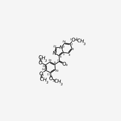 COc1ccc2c(C(=O)c3cc(OC)c(OC)c(OC)c3)ncn2c1